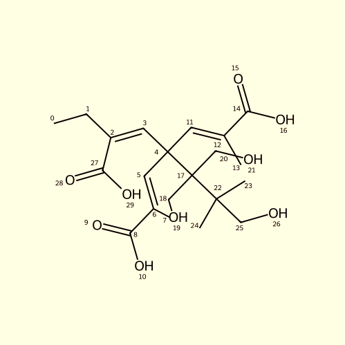 CCC(=CC(C=C(C)C(=O)O)(C=C(C)C(=O)O)C(CO)(CO)C(C)(C)CO)C(=O)O